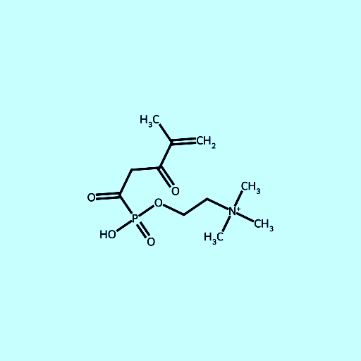 C=C(C)C(=O)CC(=O)P(=O)(O)OCC[N+](C)(C)C